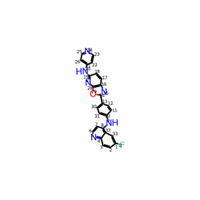 Fc1ccc2nccc(Nc3ccc(-c4nc5ccc(Nc6ccncc6)nc5o4)cc3)c2c1